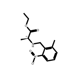 CCOC(=O)[C@H](C)NCc1c(C)cccc1[N+](=O)[O-]